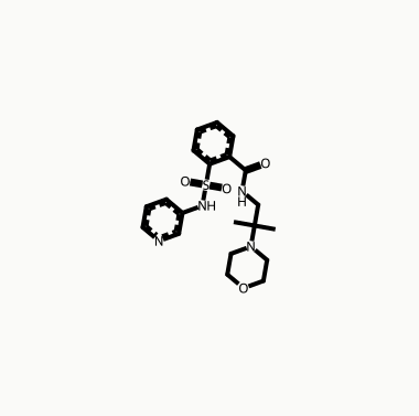 CC(C)(CNC(=O)c1ccccc1S(=O)(=O)Nc1cccnc1)N1CCOCC1